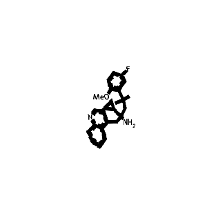 COc1ccc(F)cc1C(C)(C)CC(N)(Cc1ccnc2ccccc12)C1CC1